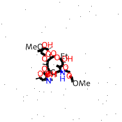 CC[C@H]1OC(=O)[C@H](C)[C@@H](O[C@H]2C[C@@](C)(OC)[C@@H](O)[C@H](C)O2)[C@H](C)C(O[C@@H]2O[C@H](C)C[C@H](N(C)C)C2O)[C@](C)(O)C[C@@H](C)C2NC(COCCOC)OC(C2C)[C@]1(C)O